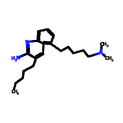 CCCCCc1cc2c(CCCCCN(C)C)cccc2nc1N